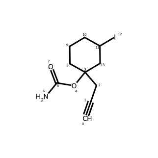 C#CCC1(OC(N)=O)CCCC(I)C1